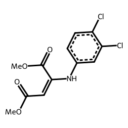 COC(=O)C=C(Nc1ccc(Cl)c(Cl)c1)C(=O)OC